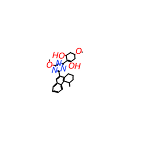 COc1nc(C2=C(O)CC(OC)CC2O)nc(-c2cc3ccccc3c3c2CCCC3C)n1